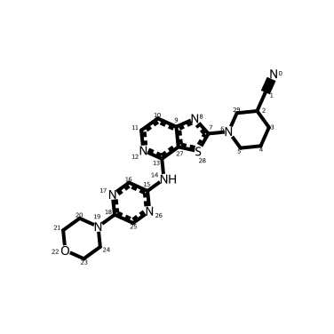 N#CC1CCCN(c2nc3ccnc(Nc4cnc(N5CCOCC5)cn4)c3s2)C1